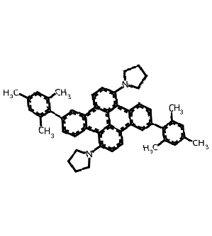 Cc1cc(C)c(-c2ccc3c(c2)c2ccc(N4CCCC4)c4c5ccc(-c6c(C)cc(C)cc6C)cc5c5ccc(N6CCCC6)c3c5c24)c(C)c1